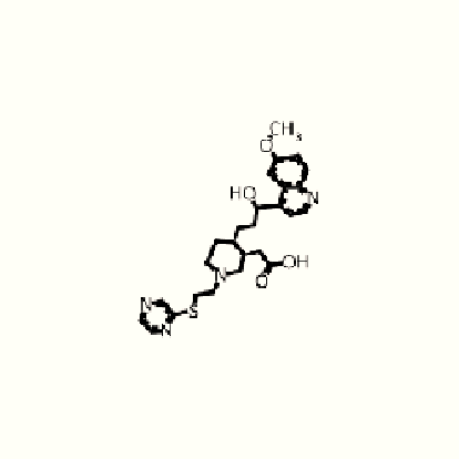 COc1ccc2nccc(C(O)CC[C@@H]3CCN(CCSc4cnccn4)C[C@@H]3CC(=O)O)c2c1